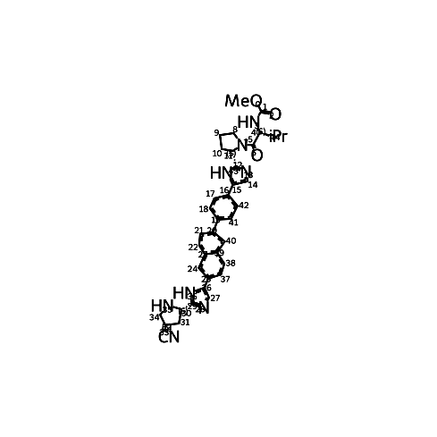 COC(=O)N[C@H](C(=O)N1CCC[C@H]1c1ncc(-c2ccc(-c3ccc4cc(-c5cnc([C@@H]6C[C@H](C#N)CN6)[nH]5)ccc4c3)cc2)[nH]1)C(C)C